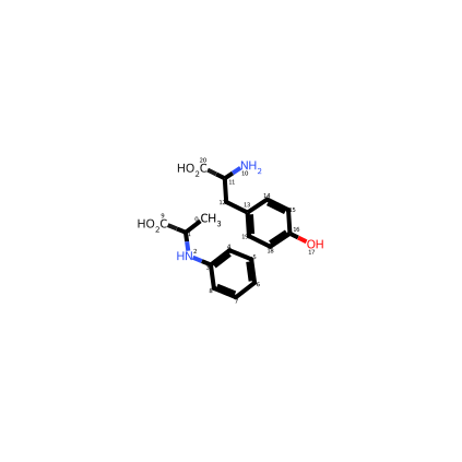 CC(Nc1ccccc1)C(=O)O.NC(Cc1ccc(O)cc1)C(=O)O